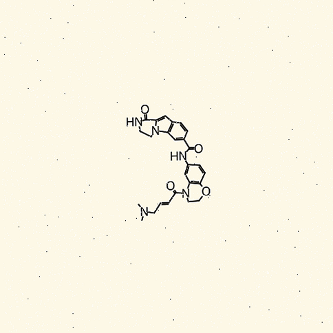 CN(C)CC=CC(=O)N1CCOc2ccc(NC(=O)c3ccc4cc5n(c4c3)CCNC5=O)cc21